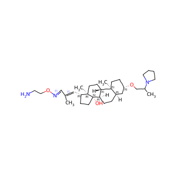 CC(/C=N/OCCN)=C\[C@H]1CC[C@]2(O)[C@@H]3CC[C@@H]4C[C@@H](OCC(C)N5CCCC5)CC[C@]4(C)[C@H]3CC[C@]12C